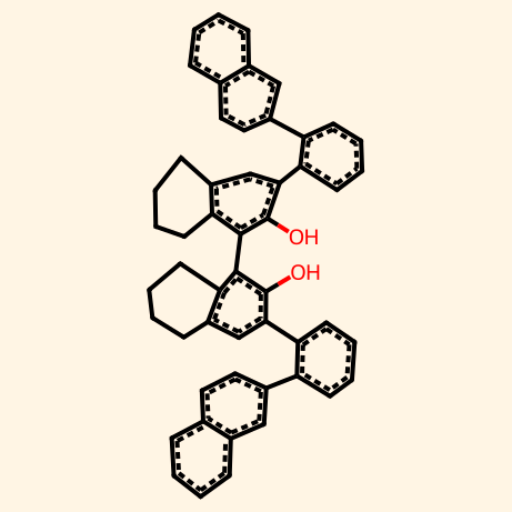 Oc1c(-c2ccccc2-c2ccc3ccccc3c2)cc2c(c1-c1c(O)c(-c3ccccc3-c3ccc4ccccc4c3)cc3c1CCCC3)CCCC2